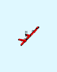 CCCCCCCCCOC(=O)CCCCCCCN(CCCCCCCC(=O)OC(CCCCCCCC)CCCCCCCCC)CCCC(=O)NC